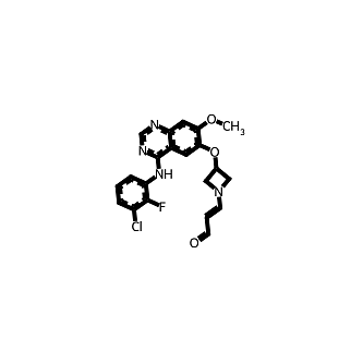 COc1cc2ncnc(Nc3cccc(Cl)c3F)c2cc1OC1CN(C=CC=O)C1